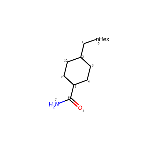 CCCCCCCC1CCC(C(N)=O)CC1